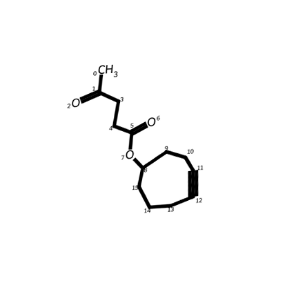 CC(=O)CCC(=O)OC1CCC#CCCC1